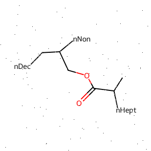 CCCCCCCCCCCC(CCCCCCCCC)COC(=O)C(C)CCCCCCC